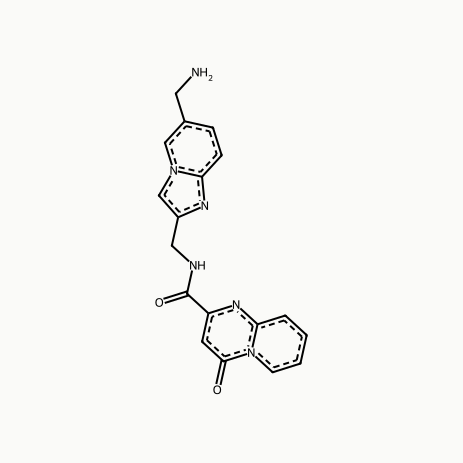 NCc1ccc2nc(CNC(=O)c3cc(=O)n4ccccc4n3)cn2c1